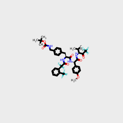 COc1ccc([C@H](NC(=O)[C@H](Cc2ccc(CNC(=O)OC(C)(C)C)cc2)NC(=O)C(F)(F)c2ccccc2C(F)(F)F)C(=O)N[C@H](C(=O)C(F)(F)F)C(C)C)cc1